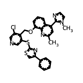 Cc1cc(-c2nccn2C)c2cccc(OCc3c(Cl)cncc3Sc3nc(-c4ccccc4)cs3)c2n1